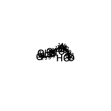 CC(C)(CCCC1CCC(CCCC2CCC(CCCC(C)(C)C(=O)O)[S+]2[O-])[S+]1[O-])C(=O)O